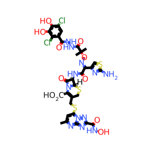 Cc1cc(SCC2=C(C(=O)O)N3C(=O)[C@@H](NC(=O)C(=NOC(C)(C)C(=O)NNC(=O)c4cc(Cl)c(O)c(O)c4Cl)c4csc(N)n4)[C@H]3SC2)n2nc(C(=O)NO)nc2n1